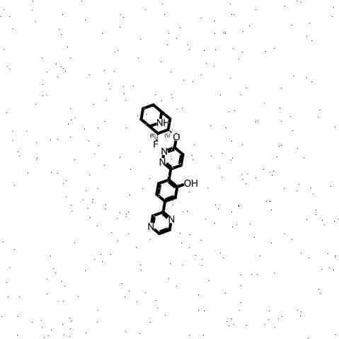 Oc1cc(-c2cnccn2)ccc1-c1ccc(O[C@H]2CC3CCCC(N3)[C@H]2F)nn1